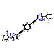 C(#Cc1cnc(C2CCCN2)[nH]1)c1ccc(C#Cc2cnc(C3CCCN3)[nH]2)cc1